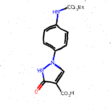 CCOC(=O)Nc1ccc(-n2cc(C(=O)O)c(=O)[nH]2)cc1